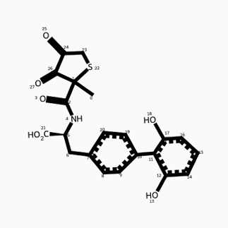 CC1(C(=O)N[C@@H](Cc2ccc(-c3c(O)cccc3O)cc2)C(=O)O)SCC(=O)C1=O